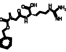 CN(CC(=O)N[C@@H](CCCNC(=N)N)C(=O)O)C(=O)OCc1ccccc1